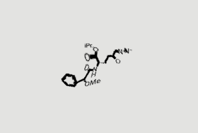 CO[C@H](C(=O)N[C@@H](CCC(=O)C=[N+]=[N-])C(=O)OC(C)C)c1ccccc1